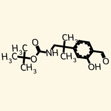 CC(C)(C)OC(=O)NCC(C)(C)c1ccc(C=O)c(O)c1